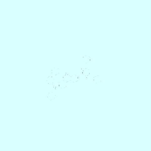 Cc1ccc(-c2cc(-c3ccc(C)cc3)nc(-c3ccc4c(c3)nc(-c3ccccc3)c3c4ccc4c3c3ccccc3n4-c3ccccc3)n2)cc1